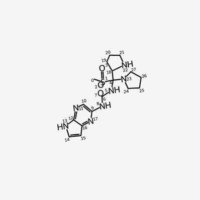 CS(=O)(=O)C(NC(=O)Nc1cnc2[nH]ccc2n1)(C1CCCN1)N1CCCC1